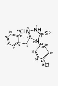 S=c1[nH]nc(Cc2ccccc2Cl)n1-c1ccc(Cl)cc1